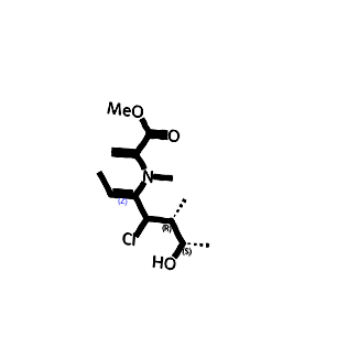 C=C(C(=O)OC)N(C)/C(=C\C)C(Cl)[C@H](C)[C@H](C)O